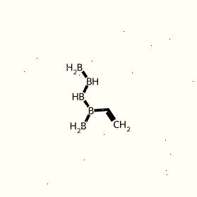 BBBB(B)C=C